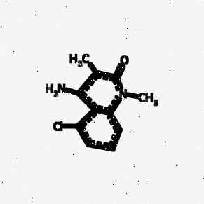 Cc1c(N)c2c(Cl)cccc2n(C)c1=O